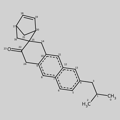 CC(C)Cc1ccc2cc3c(cc2c1)CC1(CC2C=CC1C2)C(=O)C3